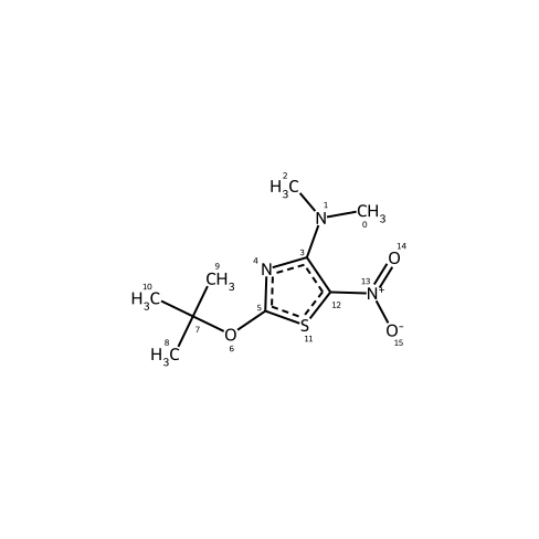 CN(C)c1nc(OC(C)(C)C)sc1[N+](=O)[O-]